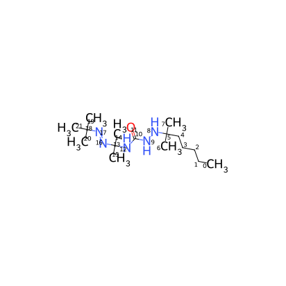 CCCCCC(C)(C)NNC(=O)NC(C)(C)N=NC(C)(C)C